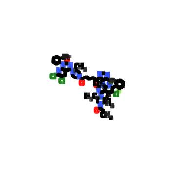 C=CC(=O)N1C[C@H](C)N(c2nc(=O)n(-c3c(C(C)C)ncnc3C(C)CC=CC(=O)N3CCN(c4nc(=O)n(-c5ccccc5C(C)C)c5nc(Cl)c(Cl)cc45)[C@@H](C)C3)c3nc(-c4ccccc4F)c(Cl)cc23)[C@@H](C)C1